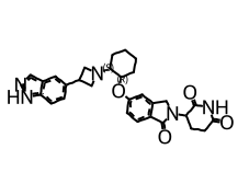 O=C1CCC(N2Cc3cc(O[C@@H]4CCCC[C@@H]4N4CC(c5ccc6[nH]ncc6c5)C4)ccc3C2=O)C(=O)N1